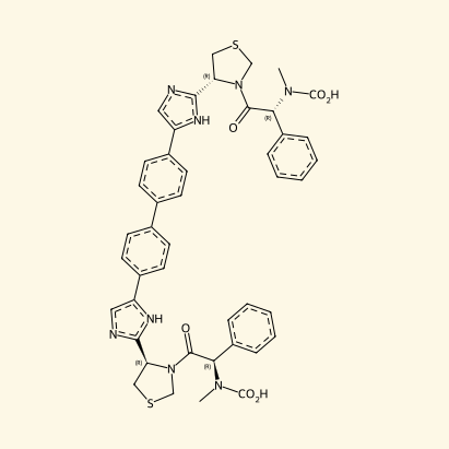 CN(C(=O)O)[C@@H](C(=O)N1CSC[C@H]1c1ncc(-c2ccc(-c3ccc(-c4cnc([C@@H]5CSCN5C(=O)[C@@H](c5ccccc5)N(C)C(=O)O)[nH]4)cc3)cc2)[nH]1)c1ccccc1